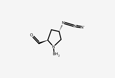 BN1C[C@@H](N=[N+]=[N-])C[C@@H]1C=O